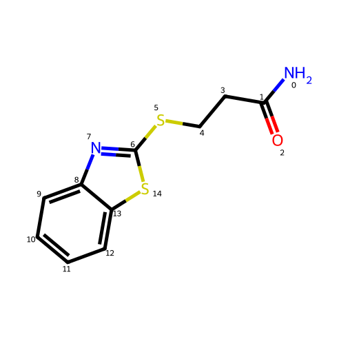 NC(=O)CCSc1nc2ccccc2s1